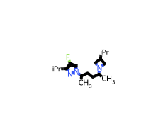 CC(C)c1nn(C(C)CCC(C)N2CC(C(C)C)C2)cc1F